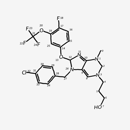 CN1CN(CCCO)C=C2C1=NC(Oc1ccc(F)c(OC(F)(F)F)c1)N2Cc1ccc(Cl)cc1